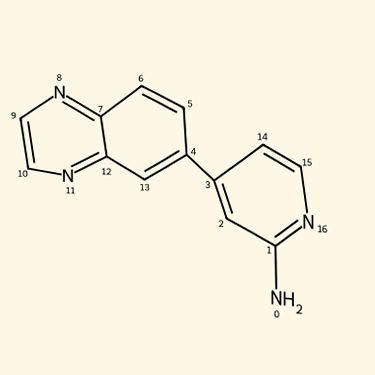 Nc1cc(-c2ccc3nccnc3c2)ccn1